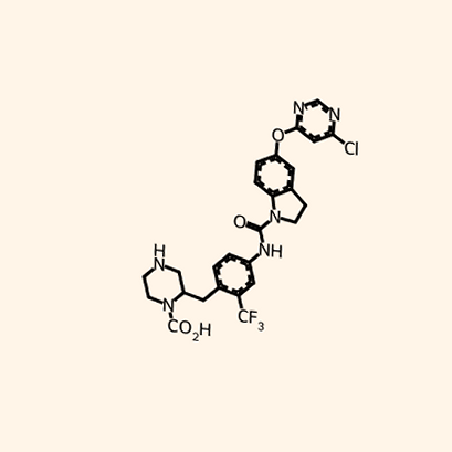 O=C(Nc1ccc(CC2CNCCN2C(=O)O)c(C(F)(F)F)c1)N1CCc2cc(Oc3cc(Cl)ncn3)ccc21